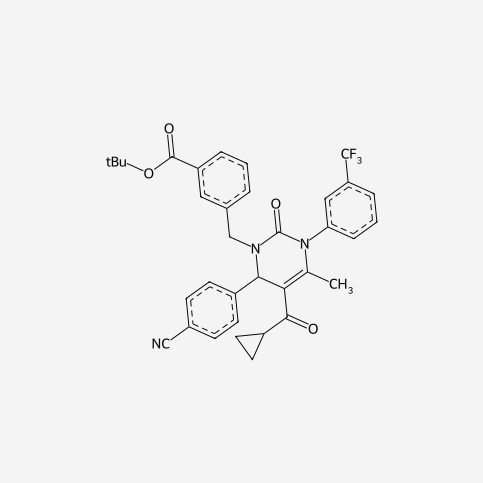 CC1=C(C(=O)C2CC2)C(c2ccc(C#N)cc2)N(Cc2cccc(C(=O)OC(C)(C)C)c2)C(=O)N1c1cccc(C(F)(F)F)c1